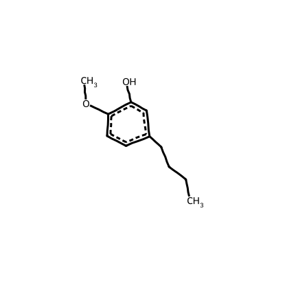 CCCCc1ccc(OC)c(O)c1